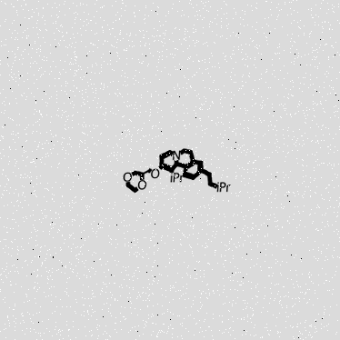 CC(C)CCc1ccc2c(c1)CCN1C=CC(OC[C@@H]3COCCO3)=C(C(C)C)C21